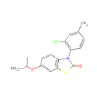 CC(Oc1ccc2c(c1)sc(=O)n2-c1ccc(C(F)(F)F)cc1Cl)C(=O)O